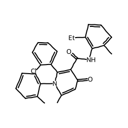 CCc1cccc(C)c1NC(=O)c1c(-c2ccccc2Cl)n(-c2ccccc2C)c(C)cc1=O